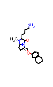 CN1C2CC[C@H](COc3ccc4c(c3)CCCC4)N2C(=O)[C@@H]1CCCCN